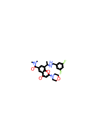 CC(NCc1cc(F)cc(F)c1)c1cc(C(=O)N(C)C)cc2c(=O)cc(N3CCOCC3)oc12